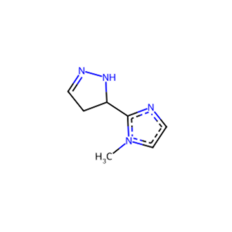 Cn1ccnc1C1CC=NN1